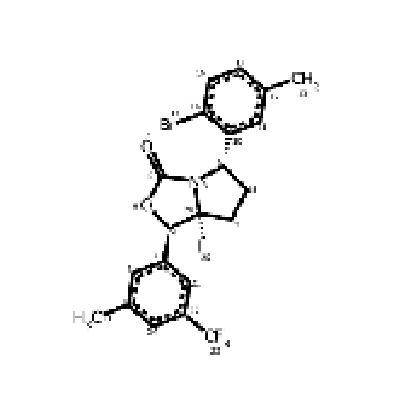 Cc1cc([C@H]2OC(=O)N3[C@H](c4cc(C)ccc4Br)CC[C@@H]23)cc(C(F)(F)F)c1